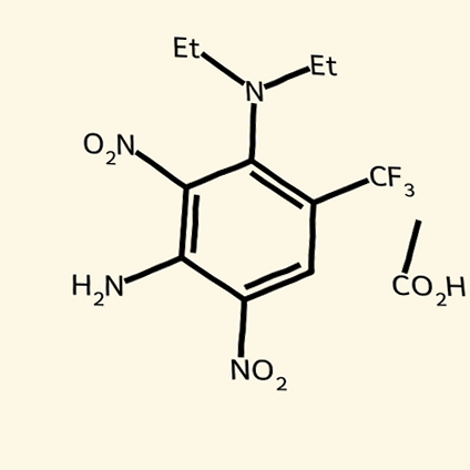 CC(=O)O.CCN(CC)c1c(C(F)(F)F)cc([N+](=O)[O-])c(N)c1[N+](=O)[O-]